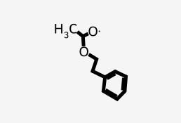 CC([O])OCCc1ccccc1